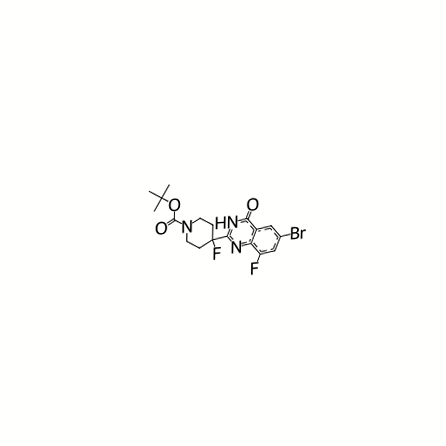 CC(C)(C)OC(=O)N1CCC(F)(c2nc3c(F)cc(Br)cc3c(=O)[nH]2)CC1